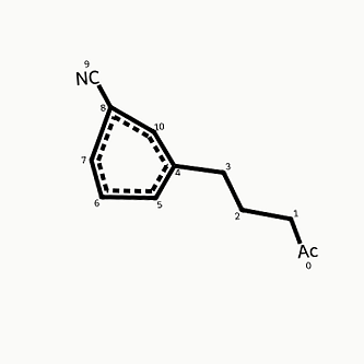 CC(=O)CCCc1cccc(C#N)c1